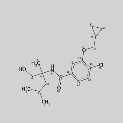 CC(C)CC(C)(CO)NC(=O)c1cc(OCC2CC2)c(Cl)cn1